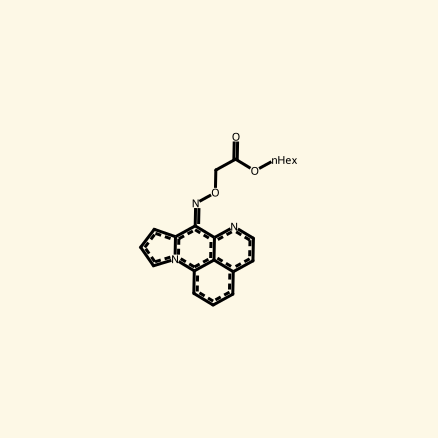 CCCCCCOC(=O)CON=c1c2nccc3cccc(c32)n2cccc12